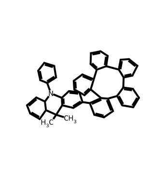 CC1(C)c2cc(-c3cccc4c5ccccc5c5ccccc5c5ccccc5c5ccccc5c34)ccc2N(c2ccccc2)C2C=CC=CC21